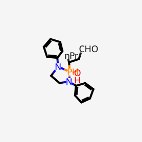 CCCC(CC=O)[PH]1(O)N(c2ccccc2)CCN1c1ccccc1